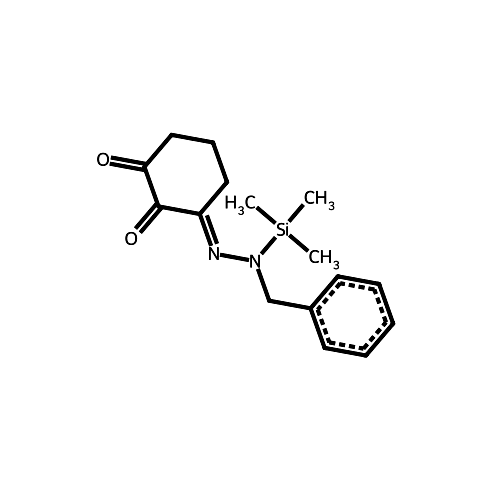 C[Si](C)(C)N(Cc1ccccc1)N=C1CCCC(=O)C1=O